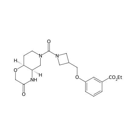 CCOC(=O)c1cccc(OCC2CN(C(=O)N3CC[C@@H]4OCC(=O)N[C@@H]4C3)C2)c1